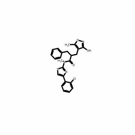 Cc1onc(O)c1CC(Cc1ccccc1)C(=O)N(C)c1nc(-c2ccccc2Cl)cs1